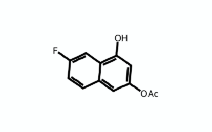 CC(=O)Oc1cc(O)c2cc(F)ccc2c1